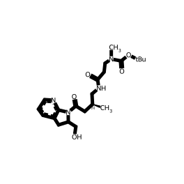 C[C@H](CNC(=O)CCN(C)C(=O)OC(C)(C)C)CC(=O)N1c2ncccc2CC1CO